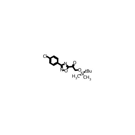 CC(C)(C)[Si](C)(C)OCC(=O)c1nc(-c2ccc(Cl)cc2)no1